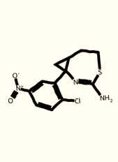 NC1=NC2(c3cc([N+](=O)[O-])ccc3Cl)CC2CCS1